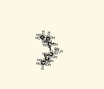 O=S(=O)(O)O.OC[C@H]1O[C@H](O[C@H]2[C@H](O)[C@@H](O)[C@@H](O[C@H]3[C@H](O)[C@@H](O)[C@H](OCCO[C@@H]4O[C@H](CO)[C@@H](O[C@H]5O[C@H](CO)[C@@H](O[C@H]6O[C@H](CO)[C@@H](O)[C@H](O)[C@H]6O)[C@H](O)[C@H]5O)[C@H](O)[C@H]4O)O[C@@H]3CO)O[C@@H]2CO)[C@H](O)[C@@H](O)[C@@H]1O